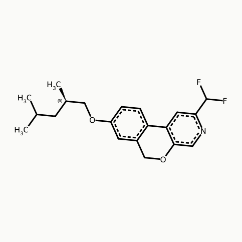 CC(C)C[C@@H](C)COc1ccc2c(c1)COc1cnc(C(F)F)cc1-2